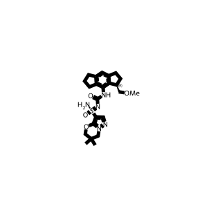 COC[C@@H]1CCc2cc3c(c(NC(=O)N=[S@](N)(=O)c4cnn5c4OCC(C)(C)C5)c21)CCC3